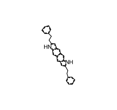 c1ccc(CCc2cc3cc4cc5[nH]c(CCc6ccccc6)cc5cc4cc3[nH]2)cc1